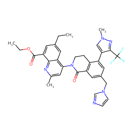 CCOC(=O)c1cc(CC)cc2c(N3CCc4c(cc(Cn5ccnc5)cc4-c4cn(C)nc4C(F)(F)F)C3=O)cc(C)nc12